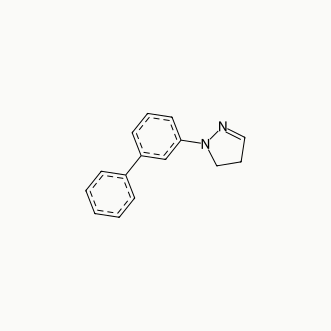 C1=NN(c2cccc(-c3ccccc3)c2)CC1